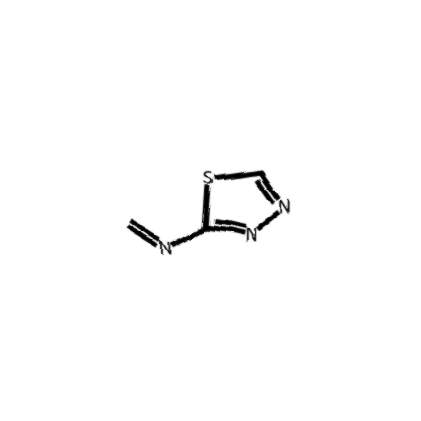 C=Nc1nncs1